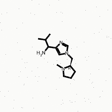 CC(C)C(N)c1cn(C[C@H]2CCCN2C)cn1